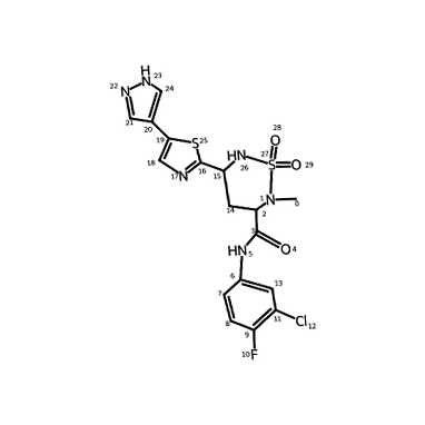 CN1C(C(=O)Nc2ccc(F)c(Cl)c2)CC(c2ncc(-c3cn[nH]c3)s2)NS1(=O)=O